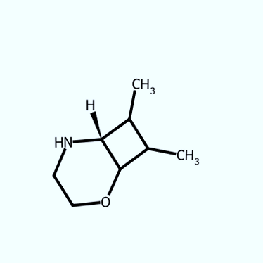 CC1C(C)[C@H]2NCCOC12